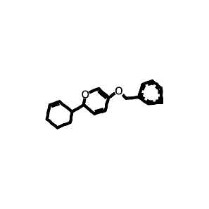 C1=CC(C2C=CC(OCc3ccccc3)=CO2)CCC1